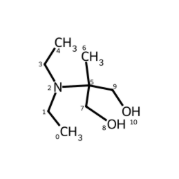 CCN(CC)C(C)(CO)CO